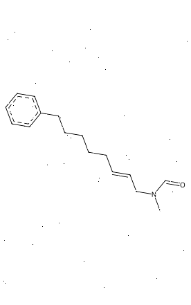 CN(C=O)C/C=C/CCCCCc1ccccc1